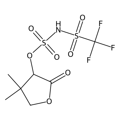 CC1(C)COC(=O)C1OS(=O)(=O)NS(=O)(=O)C(F)(F)F